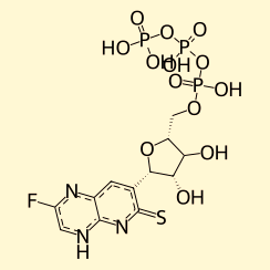 O=P(O)(O)OP(=O)(O)OP(=O)(O)OC[C@H]1O[C@@H](c2cc3nc(F)c[nH]c-3nc2=S)[C@@H](O)C1O